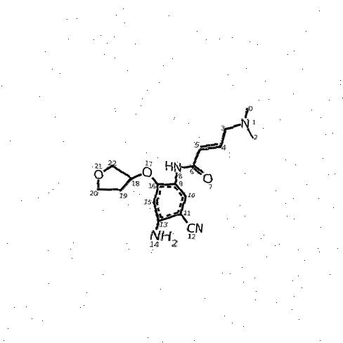 CN(C)CC=CC(=O)Nc1cc(C#N)c(N)cc1OC1CCOC1